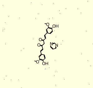 COc1cc(/C=C/C(=O)CC(=O)/C=C/c2ccc(O)c(OC)c2)ccc1O.c1cncnc1